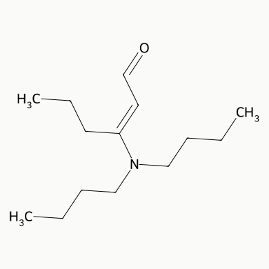 CCCCN(CCCC)C(=CC=O)CCC